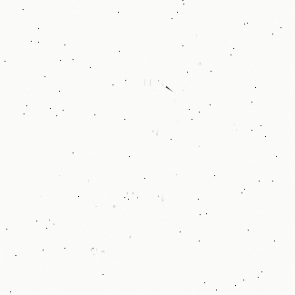 COc1ncccc1[C@@H](C)n1cc(NC(=O)[C@@H](N)C(C2CC2)C2CC2)cn1